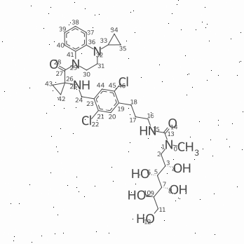 CN(C[C@H](O)[C@@H](O)[C@H](O)[C@H](O)CO)C(=O)NCCCc1cc(Cl)c(CNC2(C(=O)N3CCN(C4CC4)c4ccccc43)CC2)cc1Cl